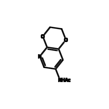 CC(=O)Nc1cnc2c(c1)OCCO2